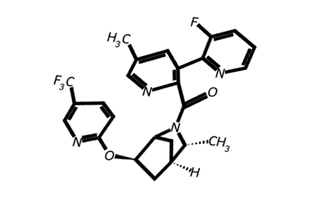 Cc1cnc(C(=O)N2C3C[C@H](C[C@H]3Oc3ccc(C(F)(F)F)cn3)[C@H]2C)c(-c2ncccc2F)c1